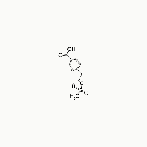 CS(=O)(=O)OCCc1ccc(C(=O)O)cc1